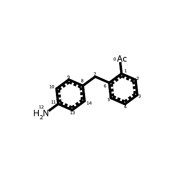 CC(=O)c1ccccc1Cc1ccc(N)cc1